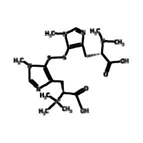 CN(C)[C@@H](Cc1ncn(C)c1SSc1c(C[C@@H](C(=O)O)[N+](C)(C)C)ncn1C)C(=O)O